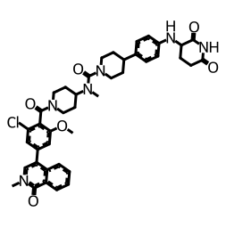 COc1cc(-c2cn(C)c(=O)c3ccccc23)cc(Cl)c1C(=O)N1CCC(N(C)C(=O)N2CCC(c3ccc(NC4CCC(=O)NC4=O)cc3)CC2)CC1